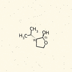 CC(C)[C@H]1CCO[C@@H]1O